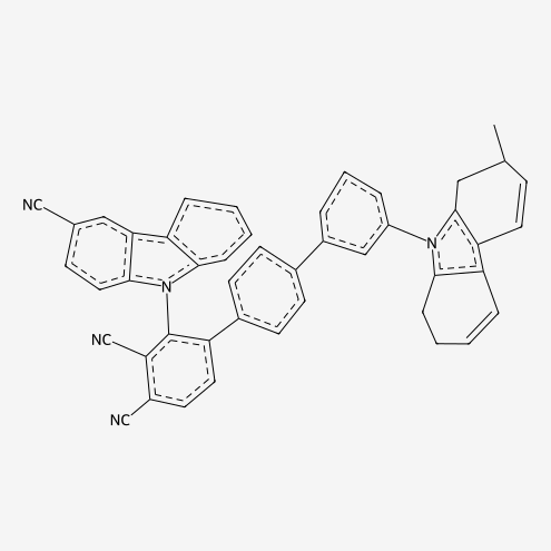 CC1C=Cc2c3c(n(-c4cccc(-c5ccc(-c6ccc(C#N)c(C#N)c6-n6c7ccccc7c7cc(C#N)ccc76)cc5)c4)c2C1)CCC=C3